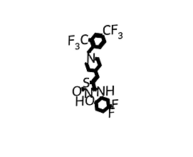 O=C1N=C(NC2CC(F)(F)CCC2O)/C(=C/C2CCN(Cc3ccc(C(F)(F)F)cc3C(F)(F)F)CC2)S1